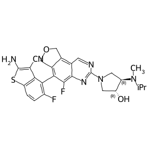 CC(C)N(C)[C@@H]1CN(c2ncc3c4c(c(-c5c(F)ccc6sc(N)c(C#N)c56)c(F)c3n2)COC4)C[C@H]1O